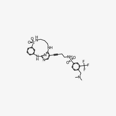 CN(C)Cc1ccc(S(=O)(=O)NCCC#Cc2cnc3nc2NCCCNS(=O)(=O)c2cccc(c2)N3)cc1C(F)(F)F